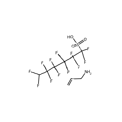 C=CCN.O=S(=O)(O)C(F)(F)C(F)(F)C(F)(F)C(F)(F)C(F)(F)C(F)F